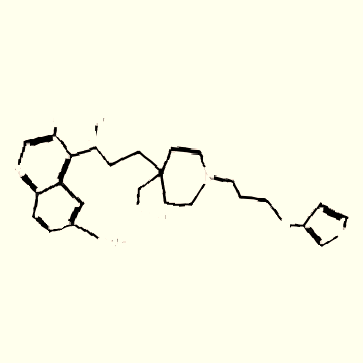 COc1ccc2ncc(Cl)c([C@@H](O)CCC3(CC(=O)O)CCN(CCCSc4ccsc4)CC3)c2c1